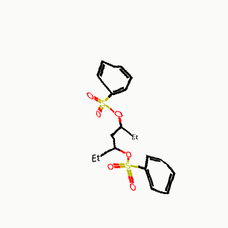 CCC(CC(CC)OS(=O)(=O)c1ccccc1)OS(=O)(=O)c1ccccc1